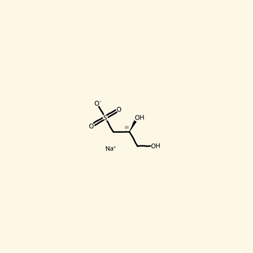 O=S(=O)([O-])C[C@@H](O)CO.[Na+]